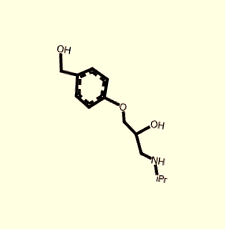 CC(C)NCC(O)COc1ccc(CO)cc1